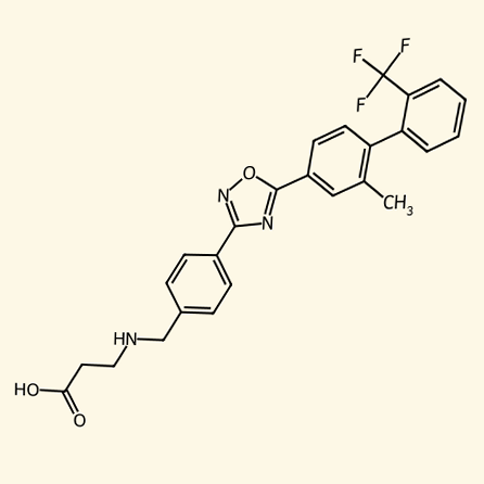 Cc1cc(-c2nc(-c3ccc(CNCCC(=O)O)cc3)no2)ccc1-c1ccccc1C(F)(F)F